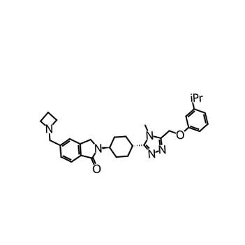 CC(C)c1cccc(OCc2nnc([C@H]3CC[C@H](N4Cc5cc(CN6CCC6)ccc5C4=O)CC3)n2C)c1